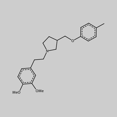 COc1ccc(CCN2CCC(COc3ccc(C)cc3)C2)cc1OC